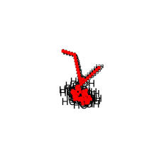 CCCCCCCC/C=C\CCCCCCCCCCCCCCCC(=O)N[C@@H](CO[C@@H]1OC(CO)[C@@H](O[C@@H]2OC(CO)[C@H](O)[C@H](O[C@@H]3OC(CO)[C@@H](O[C@@H]4OC(CO)[C@H](O[C@@H]5OC(CO)[C@H](O)[C@H](O)C5NC(C)=O)[C@H](O[C@]5(C(=O)O)CC(O)[C@@H](NC(C)=O)C([C@H](O)[C@H](O)CO)O5)C4O)[C@H](O)C3NC(C)=O)C2O)[C@H](O)C1O)[C@H](O)/C=C/CCCCCCCCCCCCC